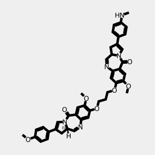 CNc1ccc(C2=CN3C(=O)c4cc(OC)c(OCCCOc5cc6c(cc5OC)C(=O)N5C=C(c7ccc(OC)cc7)C[C@H]5C=N6)cc4N=CC3C2)cc1